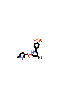 CCc1cc(OCc2ccc(C)nc2)nc(-c2ccc(S(C)(=O)=O)cc2)c1